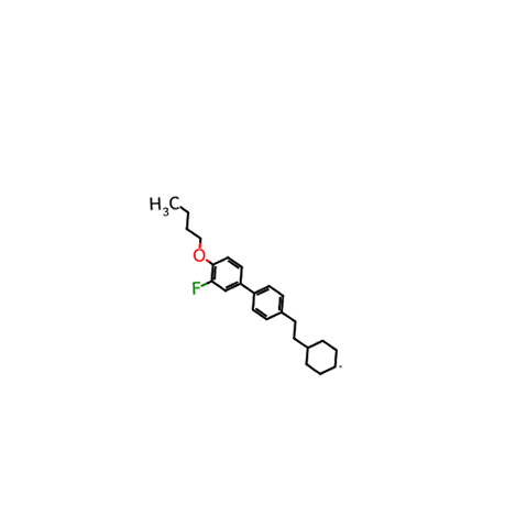 CCCCOc1ccc(-c2ccc(CCC3CC[CH]CC3)cc2)cc1F